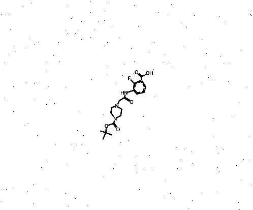 CC(C)(C)OC(=O)N1CCN(CC(=O)Nc2cccc(C(=O)O)c2F)CC1